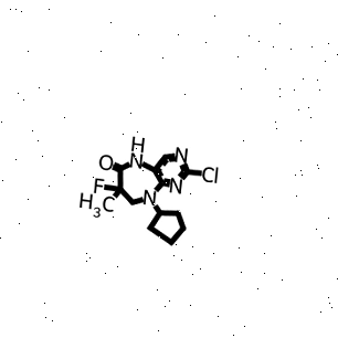 CC1(F)CN(C2CCCC2)c2nc(Cl)ncc2NC1=O